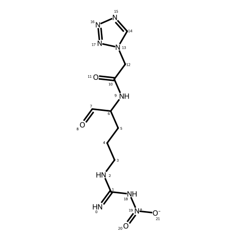 N=C(NCCCC(C=O)NC(=O)Cn1cnnn1)N[N+](=O)[O-]